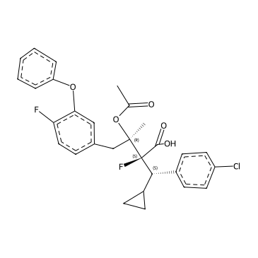 CC(=O)O[C@](C)(Cc1ccc(F)c(Oc2ccccc2)c1)[C@](F)(C(=O)O)[C@H](c1ccc(Cl)cc1)C1CC1